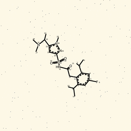 CC(C)c1cc(F)cc(C(C)C)c1CC(=O)NS(=O)(=O)c1cc(C(C)N(C)C)n(C)n1